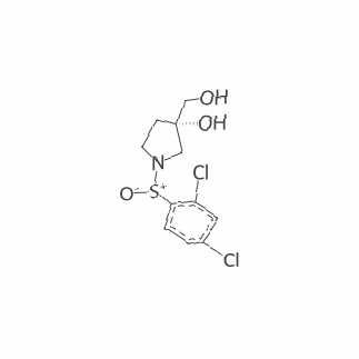 [O-][S+](c1ccc(Cl)cc1Cl)N1CC[C@@](O)(CO)C1